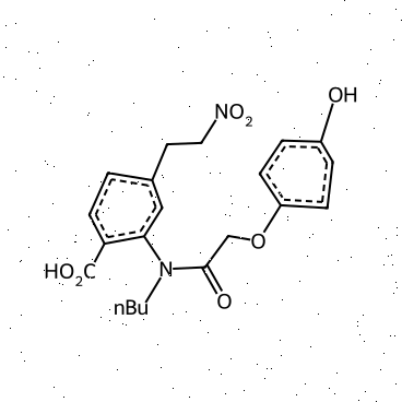 CCCCN(C(=O)COc1ccc(O)cc1)c1cc(CC[N+](=O)[O-])ccc1C(=O)O